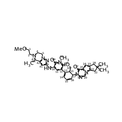 COCCN1CCn2nc(Nc3cc(C4=CC=CC(n5ncn6c7c(cc6c5=O)CC(C)(C)C7)C4CO)cn(C)c3=O)cc2[C@H]1C